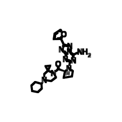 Nc1nc(N2CCC[C@H]2C(=O)N2CCN(C3CCCCC3)CC23CC3)nc2nc(-c3ccco3)nn12